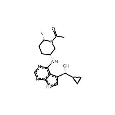 CC(=O)N1C[C@H](Nc2ncnc3[nH]cc([C@H](O)C4CC4)c23)CC[C@@H]1C